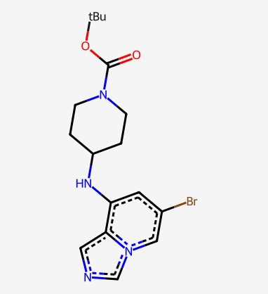 CC(C)(C)OC(=O)N1CCC(Nc2cc(Br)cn3cncc23)CC1